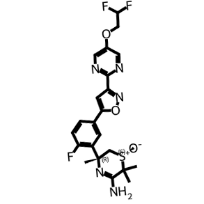 CC1(C)C(N)=N[C@](C)(c2cc(-c3cc(-c4ncc(OCC(F)F)cn4)no3)ccc2F)C[S@@+]1[O-]